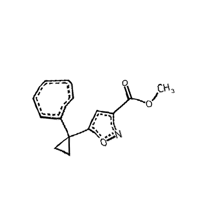 COC(=O)c1cc(C2(c3ccccc3)CC2)on1